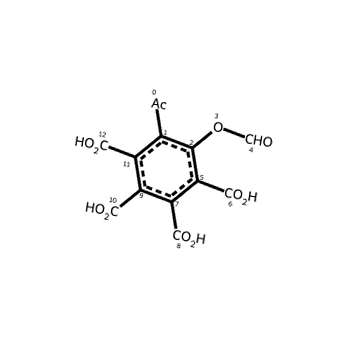 CC(=O)c1c(OC=O)c(C(=O)O)c(C(=O)O)c(C(=O)O)c1C(=O)O